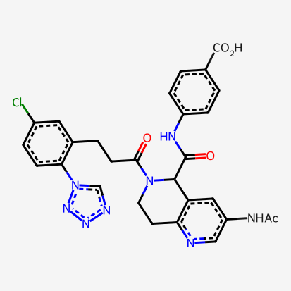 CC(=O)Nc1cnc2c(c1)C(C(=O)Nc1ccc(C(=O)O)cc1)N(C(=O)CCc1cc(Cl)ccc1-n1cnnn1)CC2